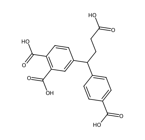 O=C(O)CCC(c1ccc(C(=O)O)cc1)c1ccc(C(=O)O)c(C(=O)O)c1